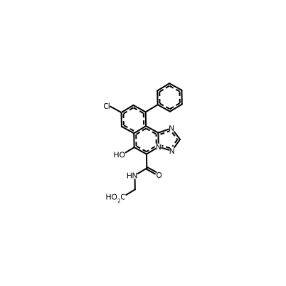 O=C(O)CNC(=O)c1c(O)c2cc(Cl)cc(-c3ccccc3)c2c2ncnn12